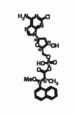 CON(c1cccc2ccccc12)[C@@H](C)C(=O)OP(=O)(O)OC[C@H]1O[C@@H](n2cnc3c(N)nc(Cl)nc32)C[C@@H]1O